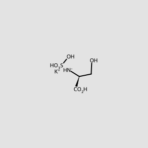 O=S(=O)(O)O.[K+].[NH-][C@@H](CO)C(=O)O